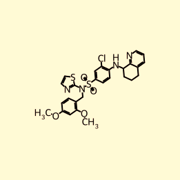 COc1ccc(CN(c2nccs2)S(=O)(=O)c2ccc(NC3CCCc4cccnc43)c(Cl)c2)c(OC)c1